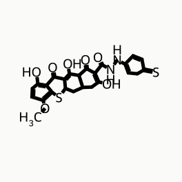 COc1ccc(O)c2c1SC1CC3CC(O)=C(C(=O)NNC4=CCC(=S)C=C4)C(=O)C3C(O)=C1C2=O